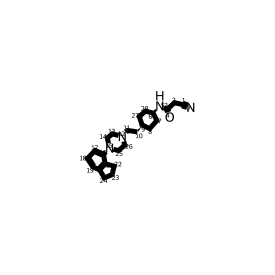 N#CCC(=O)N[C@H]1CC[C@H](CCN2CCN(c3cccc4c3CCC4)CC2)CC1